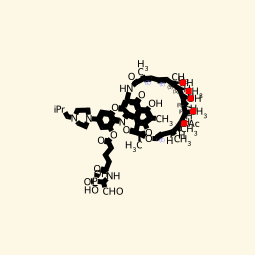 CC(=O)O[C@H]1[C@H](C)[C@H](O)[C@H](C)[C@@H](O)[C@@H](C)/C=C/C=C(/C)C(=O)Nc2c3oc4cc(N5CCN(CC(C)C)CC5)cc(OC(=O)CCCC(=O)NC(C=O)P(=O)(O)O)c4nc-3c3c4c(c(C)c(O)c3c2=O)O[C@](C)(O/C=C/[C@H](C)[C@H]1C)C4=O